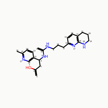 C=C(O)CC(NC(=C)NCCCc1ccc2c(n1)NCCC2)c1ccc(C)nc1